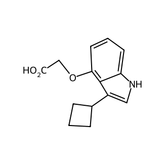 O=C(O)COc1cccc2[nH]cc(C3CCC3)c12